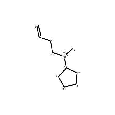 C=CCC[SiH](C)C1CCCC1